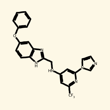 FC(F)(F)c1cc(NCc2nc3cc(Oc4ccccc4)ccc3[nH]2)cc(-n2ccnc2)n1